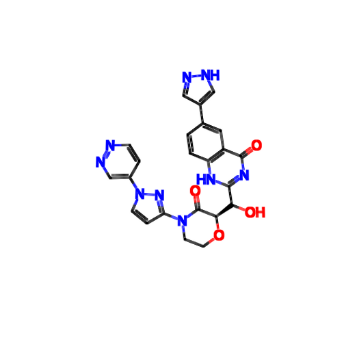 O=C1[C@@H](C(O)c2nc(=O)c3cc(-c4cn[nH]c4)ccc3[nH]2)OCCN1c1ccn(-c2ccnnc2)n1